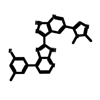 Cc1cc(F)cc(-c2ccnc3[nH]c(-c4n[nH]c5ncc(-c6cnc(C)n6C)cc45)nc23)c1